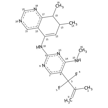 C=C(C)C(F)(F)c1cnc(NC2=CC(C)C(C)c3ncncc32)nc1NC